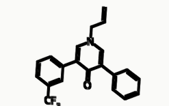 C=CCn1cc(-c2ccccc2)c(=O)c(-c2cccc(C(F)(F)F)c2)c1